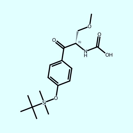 COC[C@H](NC(=O)O)C(=O)c1ccc(O[Si](C)(C)C(C)(C)C)cc1